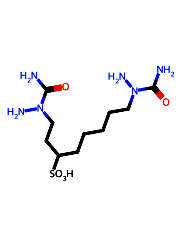 NC(=O)N(N)CCCCCC(CCN(N)C(N)=O)S(=O)(=O)O